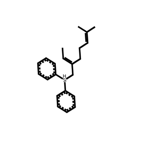 CC=C(CCC=C(C)C)C[SiH](c1ccccc1)c1ccccc1